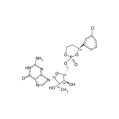 C[C@@]1(O)[C@H](O)[C@@H](COP2(=O)OCC[C@@H](c3cccc(Cl)c3)O2)O[C@H]1n1cnc2c(=O)[nH]c(N)nc21